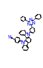 N#Cc1ccc(-n2c3ccccc3c3ccc4c(c5ccccc5n4-c4cccc(-c5nc(-c6ccccc6)nc(-c6ccccc6)n5)c4)c32)cc1